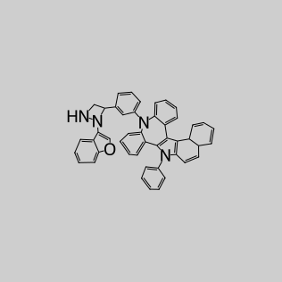 C1=CC2C=Cc3c(c4c(n3-c3ccccc3)-c3ccccc3N(c3cccc(C5CNN5c5coc6ccccc56)c3)c3ccccc3-4)C2C=C1